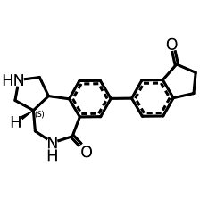 O=C1CCc2ccc(-c3ccc4c(c3)C(=O)NC[C@@H]3CNCC43)cc21